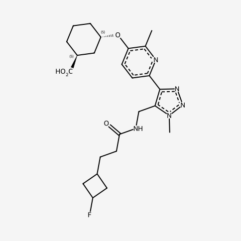 Cc1nc(-c2nnn(C)c2CNC(=O)CCC2CC(F)C2)ccc1O[C@H]1CCC[C@H](C(=O)O)C1